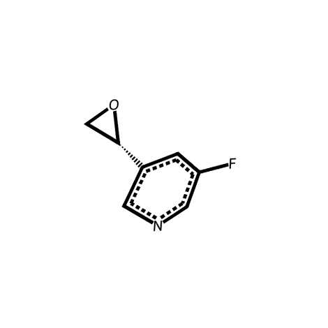 Fc1cncc([C@@H]2CO2)c1